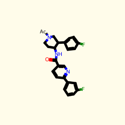 CC(=O)N1CCC(NC(=O)c2ccc(-c3cccc(F)c3)nc2)C(c2ccc(F)cc2)C1